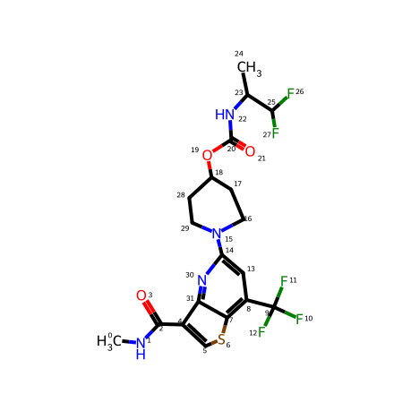 CNC(=O)c1csc2c(C(F)(F)F)cc(N3CCC(OC(=O)NC(C)C(F)F)CC3)nc12